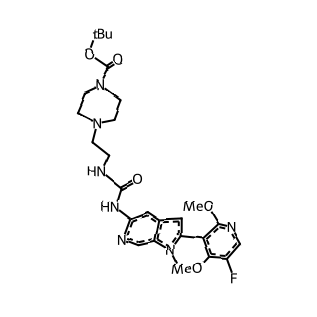 COc1ncc(F)c(OC)c1-c1cc2cc(NC(=O)NCCN3CCN(C(=O)OC(C)(C)C)CC3)ncc2n1C